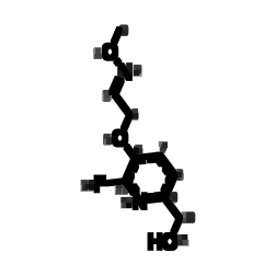 CO/N=C/COc1ccc(CO)nc1F